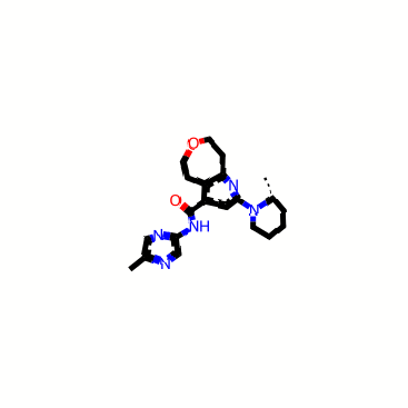 Cc1cnc(NC(=O)c2cc(N3CCCC[C@H]3C)nc3c2CCOCC3)cn1